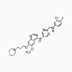 COc1cc2c(Nc3cnc(CNc4ccc(F)c(Cl)c4)nc3)ncnc2cc1OCCCN1CC[CH]CC1